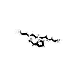 OCCOCCOCCOCCO.OCc1ccco1